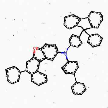 c1ccc(-c2ccc(N(c3ccc(C4(c5ccccc5)c5ccccc5-c5ccccc54)cc3)c3ccc4oc5cc(-c6ccccc6)c6ccccc6c5c4c3)cc2)cc1